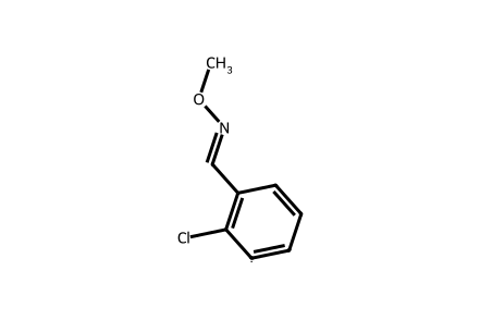 CON=Cc1ccc[c]c1Cl